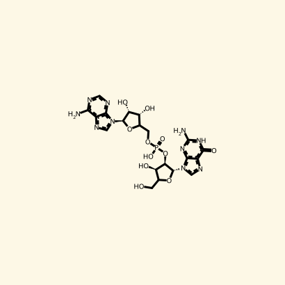 Nc1nc2c(ncn2[C@@H]2OC(CO)[C@@H](O)[C@H]2OP(=O)(O)OCC2O[C@@H](n3cnc4c(N)ncnc43)[C@H](O)[C@@H]2O)c(=O)[nH]1